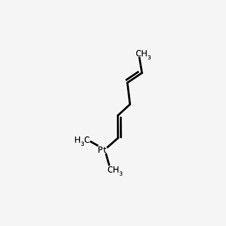 CC=CCC=[CH][Pt]([CH3])[CH3]